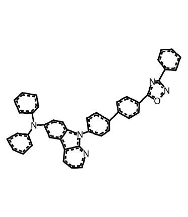 c1ccc(-c2noc(-c3ccc(-c4ccc(-n5c6ccc(N(c7ccccc7)c7ccccc7)cc6c6cccnc65)cc4)cc3)n2)cc1